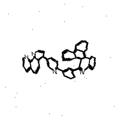 c1cc(-c2ccc(-c3ccnc4c3ccc3cccnc34)cn2)cc(-c2nc3ccccc3c3c4ccccc4c4ccccc4c23)c1